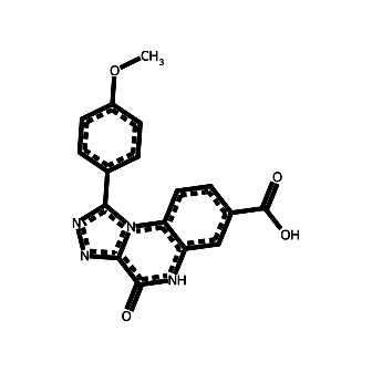 COc1ccc(-c2nnc3c(=O)[nH]c4cc(C(=O)O)ccc4n23)cc1